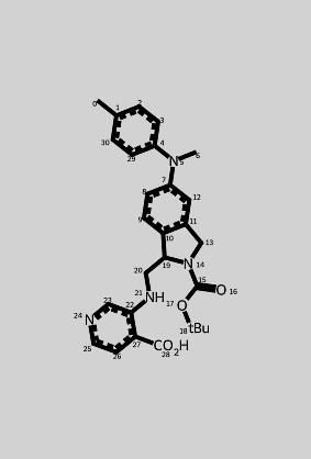 Cc1ccc(N(C)c2ccc3c(c2)CN(C(=O)OC(C)(C)C)C3CNc2cnccc2C(=O)O)cc1